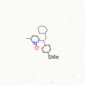 CSc1ccc(C(CC2CCCCC2)c2ccc(C)c[n+]2[O-])cc1